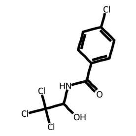 O=C(NC(O)C(Cl)(Cl)Cl)c1ccc(Cl)cc1